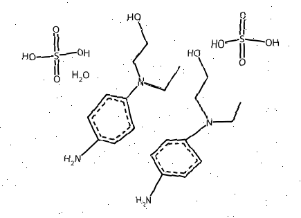 CCN(CCO)c1ccc(N)cc1.CCN(CCO)c1ccc(N)cc1.O.O=S(=O)(O)O.O=S(=O)(O)O